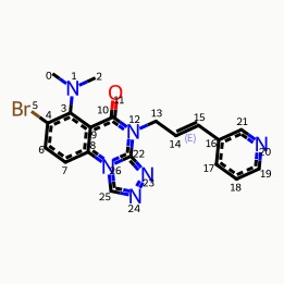 CN(C)c1c(Br)ccc2c1c(=O)n(C/C=C/c1cccnc1)c1nncn21